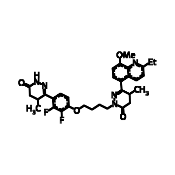 CCc1ccc2c(C3=NN(CCCCOc4ccc(C5=NNC(=O)CC5C)c(F)c4F)C(=O)CC3C)ccc(OC)c2n1